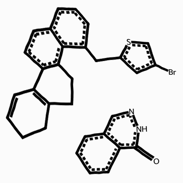 Brc1csc(Cc2cccc3ccc4c(c23)CCC2=C4C=CCC2)c1.O=c1[nH]ncc2ccccc12